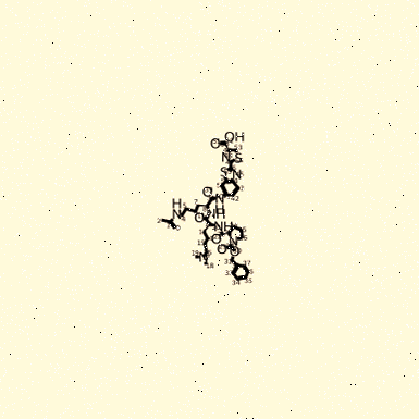 C=C(C)NCCCC[C@H](NC(=O)[C@H](CCCCN(C)C)NC(=O)[C@@H]1CCCN1C(=O)OCc1ccccc1)C(=O)Nc1ccc2nc(C3=N[C@@H](C(=O)O)CS3)sc2c1